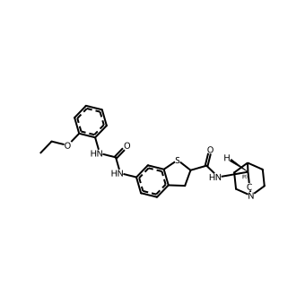 CCOc1ccccc1NC(=O)Nc1ccc2c(c1)SC(C(=O)N[C@H]1CN3CCC1CC3)C2